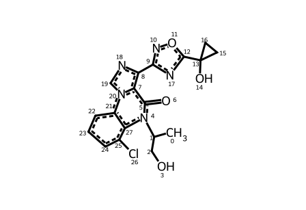 CC(CO)n1c(=O)c2c(-c3noc(C4(O)CC4)n3)ncn2c2cccc(Cl)c21